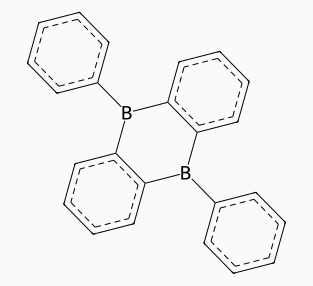 c1ccc(B2c3ccccc3B(c3ccccc3)c3ccccc32)cc1